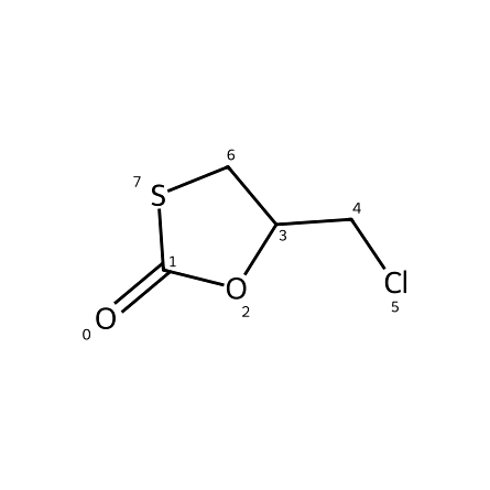 O=C1OC(CCl)CS1